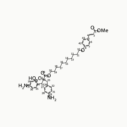 COC(=O)/C=C/c1ccc(OCCCCCCCCCCCOC(=O)C(Cc2ccc(N)cc2)(Cc2ccc(N)cc2)C(=O)O)cc1